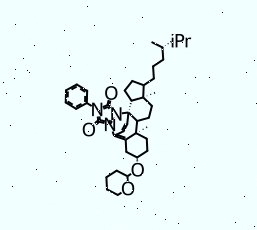 CC(C)[C@@H](C)CCCC1CCC2[C@]1(C)CCC1[C@]23C=CC(=C2C[C@@H](OC4CCCCO4)CC[C@@]21C)n1c(=O)n(-c2ccccc2)c(=O)n13